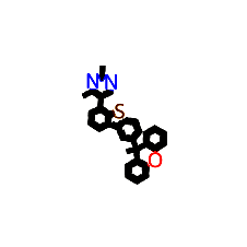 Cc1ncc(-c2cccc3c2sc2ccc(C4(C)c5ccccc5Oc5ccccc54)cc23)c(C)n1